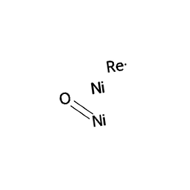 [Ni].[O]=[Ni].[Re]